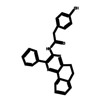 O=C(Cc1ccc(O)cc1)Nc1nc2c(nc1-c1ccccc1)-c1ccccc1CC2